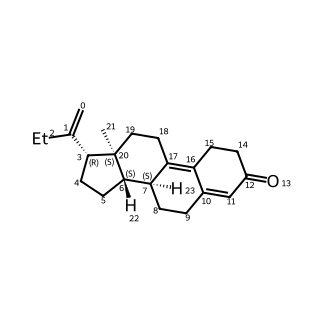 C=C(CC)[C@H]1CC[C@H]2[C@@H]3CCC4=CC(=O)CCC4=C3CC[C@]12C